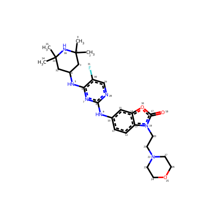 CC1(C)CC(Nc2nc(Nc3ccc4c(c3)oc(=O)n4CCN3CCOCC3)ncc2F)CC(C)(C)N1